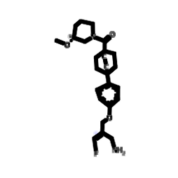 CO[C@@H]1CCCN(C(=O)C23CCC(c4ccc(OC/C(=C/F)CN)cc4)(CC2)CC3)C1